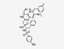 CC(C)C[C@H](NC(=O)CP(=O)(O)C(Cc1ccccc1)NS(=O)(=O)c1ccc(C(C)(C)C)cc1)C(=O)N[C@@H](Cc1cccc(F)c1)C(N)=O